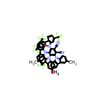 Cc1ccc2c(c1)c1cc(C)ccc1n2-c1c(C#N)c(C#N)c(-n2c3cc(C(F)(F)F)ccc3c3ccc(C(F)(F)F)cc32)c(-n2c3cc(C(F)(F)F)ccc3c3ccc(C(F)(F)F)cc32)c1-n1c2ccc(C)cc2c2cc(C)ccc21